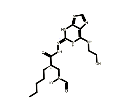 CCCCC[C@H](CN(O)C=O)C(=O)N/N=c1/[nH]c2ncnc-2c(NCCO)[nH]1